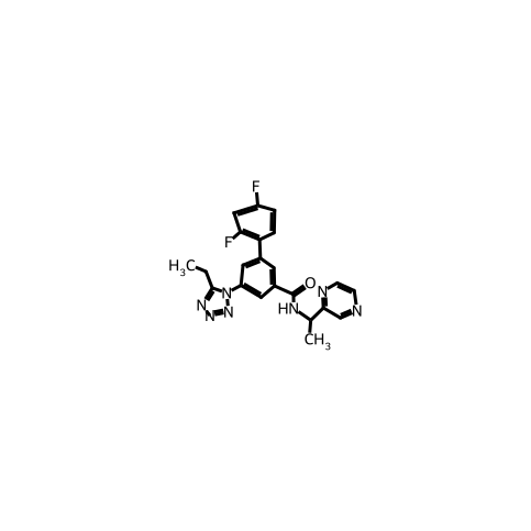 CCc1nnnn1-c1cc(C(=O)NC(C)c2cnccn2)cc(-c2ccc(F)cc2F)c1